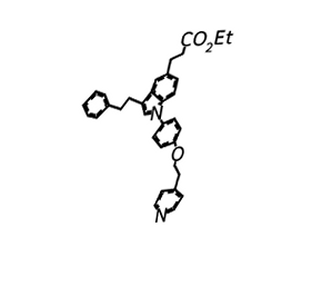 CCOC(=O)CCc1ccc2c(c1)c(CCc1ccccc1)cn2-c1ccc(OCCc2ccncc2)cc1